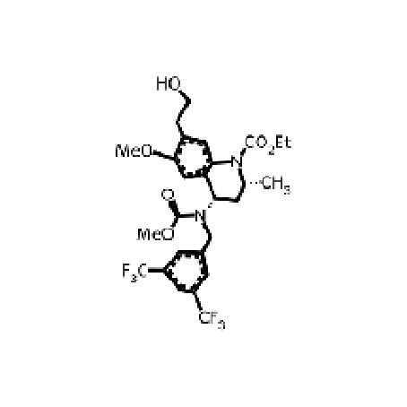 CCOC(=O)N1c2cc(CCO)c(OC)cc2[C@@H](N(Cc2cc(C(F)(F)F)cc(C(F)(F)F)c2)C(=O)OC)C[C@H]1C